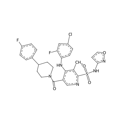 Cc1c(S(=O)(=O)Nc2ccon2)ncc(C(=O)N2CCC(c3ccc(F)cc3)CC2)c1Nc1ccc(Cl)cc1F